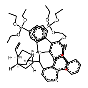 C=C[C@H]1C[N@+]2(Cc3cc([Si](OCC)(OCC)OCC)cc([Si](OCC)(OCC)OCC)c3)CC[C@H]1C[C@@H]2C(Oc1nc(-c2ccccc2)nc(Cl)c1-c1ccccc1)c1ccnc2ccc(O)cc12